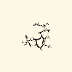 CCCN(CCC)[C@H]1COc2c(F)ccc(OS(=O)(=O)C(F)(F)F)c2C1